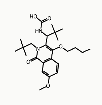 CCCCOc1c(C(NC(=O)O)C(C)(C)C)n(CC(C)(C)C)c(=O)c2cc(OC)ccc12